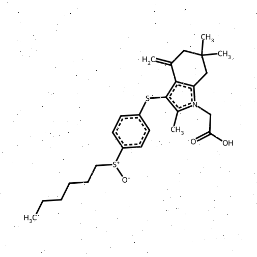 C=C1CC(C)(C)Cc2c1c(Sc1ccc([S+]([O-])CCCCCC)cc1)c(C)n2CC(=O)O